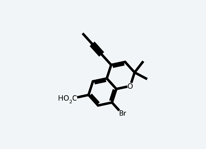 CC#CC1=CC(C)(C)Oc2c(Br)cc(C(=O)O)cc21